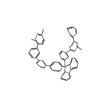 Cc1ccc(-c2cccc(-c3cccc(-c4ccc(C5(c6cccc(-c7nc(C)nc(-c8ccccc8)n7)c6)c6ccccc6-c6ccccc65)cc4)c3)c2)c(C)n1